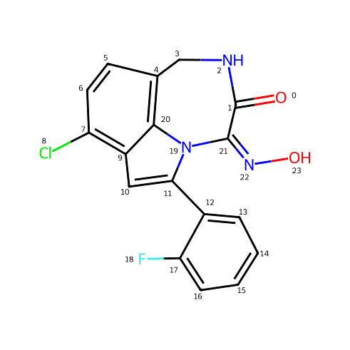 O=C1NCc2ccc(Cl)c3cc(-c4ccccc4F)n(c23)C1=NO